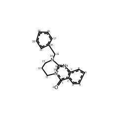 O=c1c2ccccc2nc2n1CCCN2Cc1ccccc1